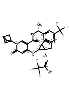 C[C@@H](NC(=O)c1cn(C23CC(C2)C3)c(=O)cc1NC1[C@H]2CNC[C@@H]12)c1cccc(C(F)(F)F)c1.O=C(O)C(F)(F)F